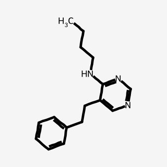 CCCCNc1ncncc1CCc1ccccc1